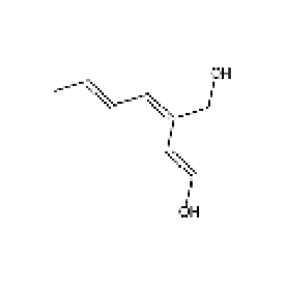 C/C=C/C=C(\C=C\O)CO